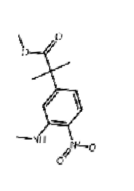 CNc1cc(C(C)(C)C(=O)OC)ccc1[N+](=O)[O-]